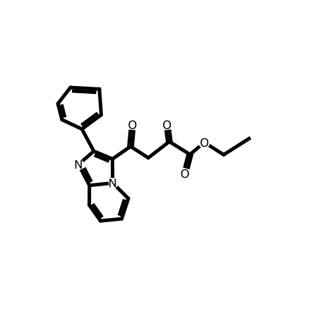 CCOC(=O)C(=O)CC(=O)c1c(-c2ccccc2)nc2ccccn12